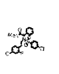 CNC(=O)[C@@H](c1ccccc1)N(CCc1ccc(Cl)cc1F)S(=O)(=O)c1ccc(Cl)cc1